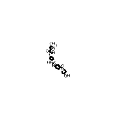 Cc1cc(C(=O)NC[C@@H]2CC[C@H](Nc3nc4ccc(C(=O)N5CCC(O)CC5)cc4s3)C2)on1